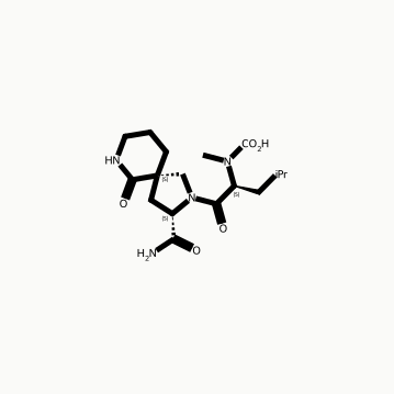 CC(C)C[C@@H](C(=O)N1C[C@]2(CCCNC2=O)C[C@H]1C(N)=O)N(C)C(=O)O